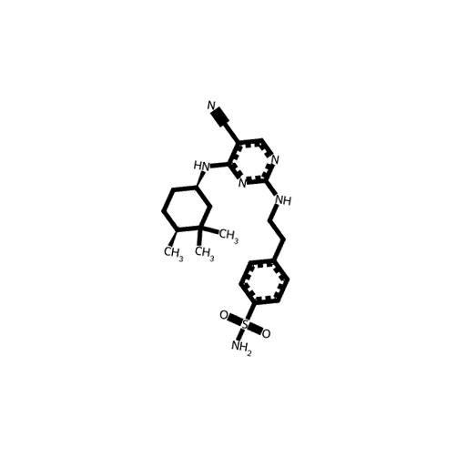 C[C@H]1CC[C@@H](Nc2nc(NCCc3ccc(S(N)(=O)=O)cc3)ncc2C#N)CC1(C)C